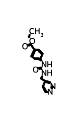 CCOC(=O)c1ccc(NC(=O)NCc2ccnnc2)cc1